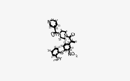 C=C(C(=O)N1CCN(C(=O)c2cccnc2)CC1)c1ccc(Sc2ccccc2C(C)C)c([N+](=O)[O-])c1